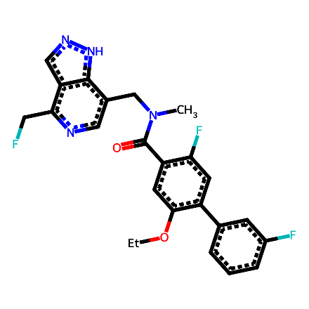 CCOc1cc(C(=O)N(C)Cc2cnc(CF)c3cn[nH]c23)c(F)cc1-c1cccc(F)c1